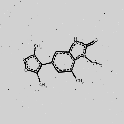 Cc1noc(C)c1-c1cc(C)c2c(c1)[nH]c(=O)n2C